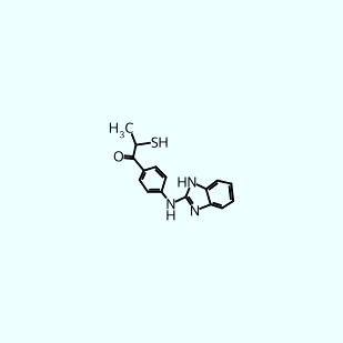 CC(S)C(=O)c1ccc(Nc2nc3ccccc3[nH]2)cc1